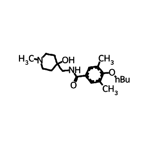 CCCCOc1c(C)cc(C(=O)NCC2(O)CCN(C)CC2)cc1C